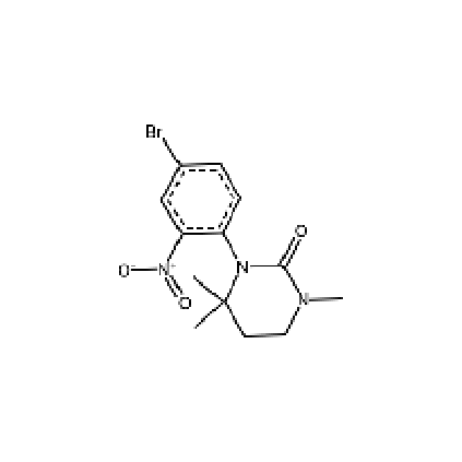 CN1CCC(C)(C)N(c2ccc(Br)cc2[N+](=O)[O-])C1=O